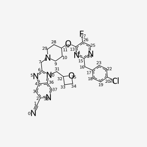 N#Cc1cc2nc(CN3CCC(Oc4nc(Cc5ccc(Cl)cc5)ncc4F)CC3)n(CC3CCO3)c2cn1